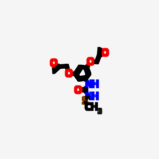 CSNC(=O)Nc1cc(OCC2CO2)cc(OCC2CO2)c1